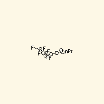 CCCC1CCC(c2ccc(-c3cc(F)c(C(F)(F)Oc4cc(F)c(OCCCCF)c(F)c4)c(F)c3)cc2)OC1